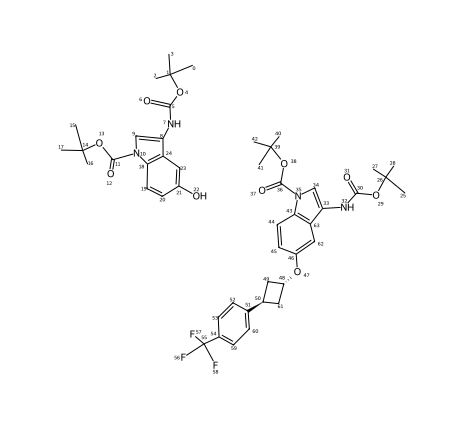 CC(C)(C)OC(=O)Nc1cn(C(=O)OC(C)(C)C)c2ccc(O)cc12.CC(C)(C)OC(=O)Nc1cn(C(=O)OC(C)(C)C)c2ccc(O[C@H]3C[C@H](c4ccc(C(F)(F)F)cc4)C3)cc12